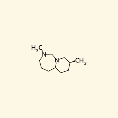 C[C@H]1CCC2CCCN(C)CN2C1